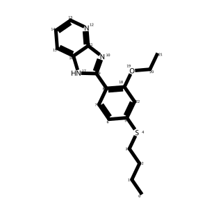 CCCCSc1ccc(-c2nc3ncccc3[nH]2)c(OCC)c1